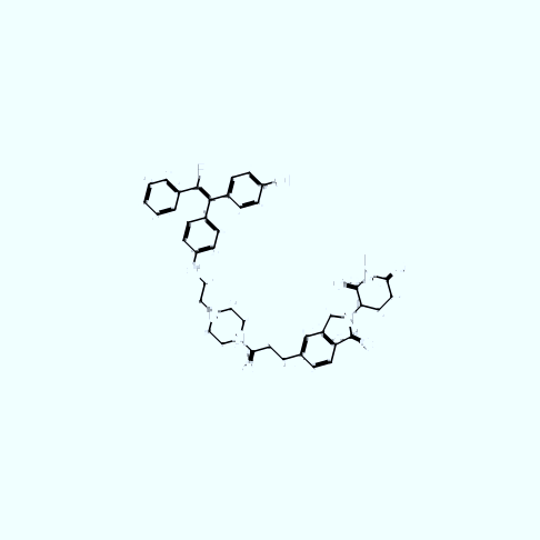 CC/C(=C(\c1ccc(O)cc1)c1ccc(OCCN2CCN(C(=O)CCc3ccc4c(c3)CN(C3CCC(=O)NC3=O)C4=O)CC2)cc1)c1ccccc1